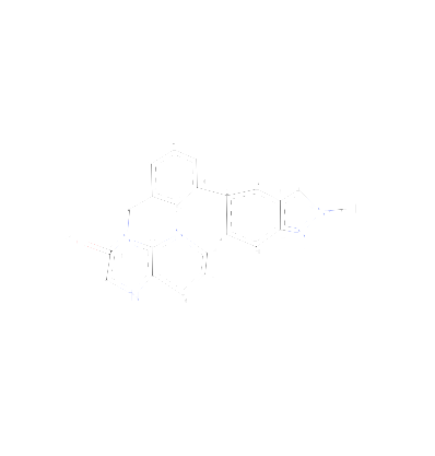 Cn1cc2cc(-c3cccc(Cn4c(=O)cnc5cccnc54)c3)ccc2n1